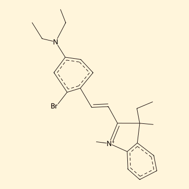 CCN(CC)c1ccc(/C=C/C2=[N+](C)c3ccccc3C2(C)CC)c(Br)c1